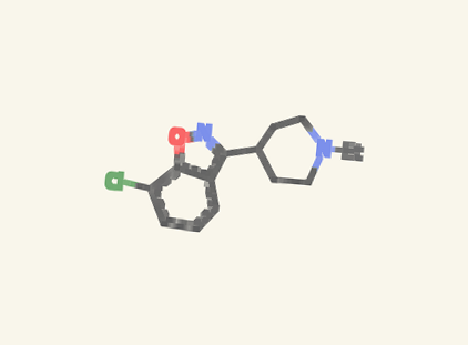 CCN1CCC(c2noc3c(Cl)cccc23)CC1